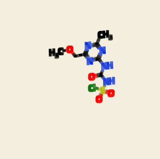 COCc1nc(C)nc(NC(=O)NS(=O)(=O)Cl)n1